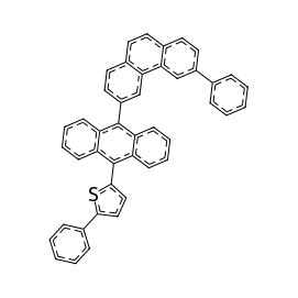 c1ccc(-c2ccc3ccc4ccc(-c5c6ccccc6c(-c6ccc(-c7ccccc7)s6)c6ccccc56)cc4c3c2)cc1